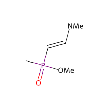 CN/C=C/P(C)(=O)OC